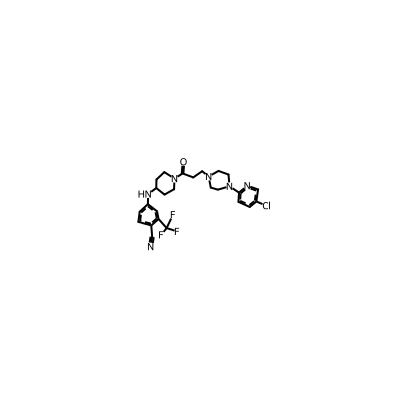 N#Cc1ccc(NC2CCN(C(=O)CCN3CCN(c4ccc(Cl)cn4)CC3)CC2)cc1C(F)(F)F